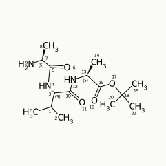 CC(C)[C@H](NC(=O)[C@H](C)N)C(=O)N[C@@H](C)C(=O)OC(C)(C)C